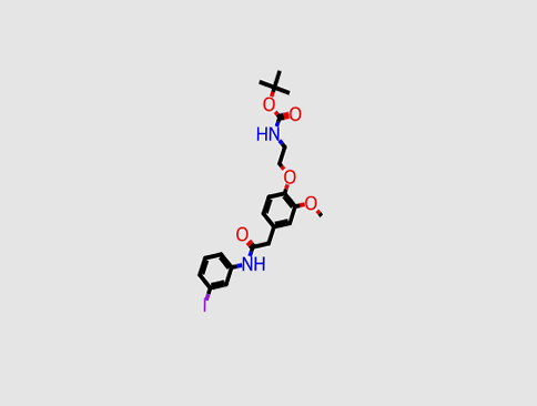 COc1cc(CC(=O)Nc2cccc(I)c2)ccc1OCCNC(=O)OC(C)(C)C